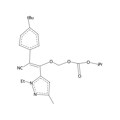 CCn1nc(C)cc1/C(OCOC(=O)OC(C)C)=C(\C#N)c1ccc(C(C)(C)C)cc1